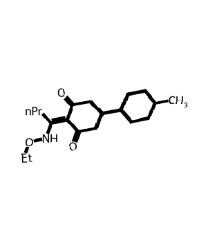 CCCC(NOCC)=C1C(=O)CC(C2CCC(C)CC2)CC1=O